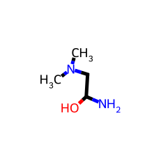 CN(C)CC(N)O